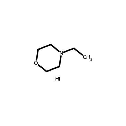 CCN1CCOCC1.I